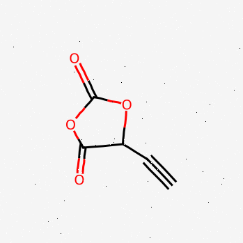 C#CC1OC(=O)OC1=O